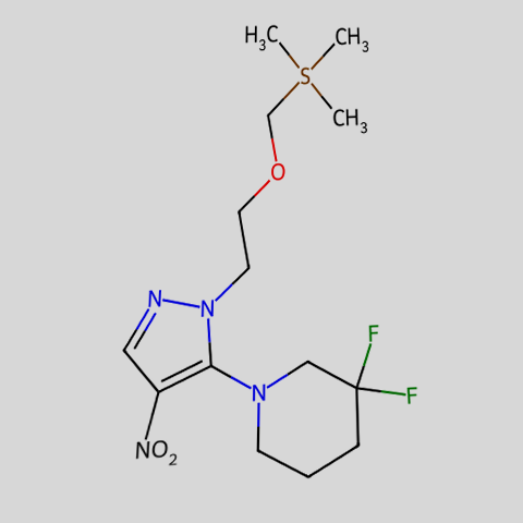 CS(C)(C)COCCn1ncc([N+](=O)[O-])c1N1CCCC(F)(F)C1